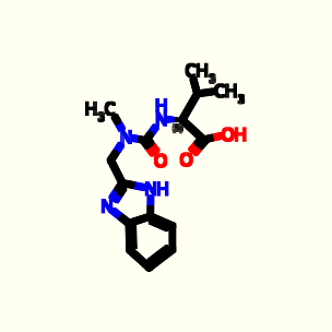 CC(C)[C@H](NC(=O)N(C)Cc1nc2ccccc2[nH]1)C(=O)O